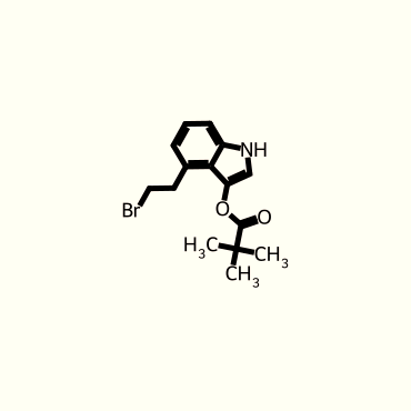 CC(C)(C)C(=O)Oc1c[nH]c2cccc(CCBr)c12